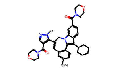 CCn1ncc(C(=O)N2CCOCC2)c1C1=Cc2cc(OC)ccc2-c2c(C3CCCCC3)c3ccc(C(=O)N4CCOCC4)cc3n2C1